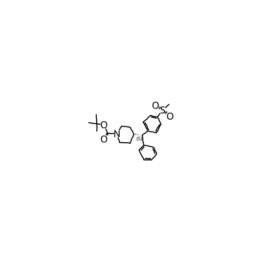 CC(C)(C)OC(=O)N1CCC([C@@H](c2ccccc2)c2ccc(S(C)(=O)=O)cc2)CC1